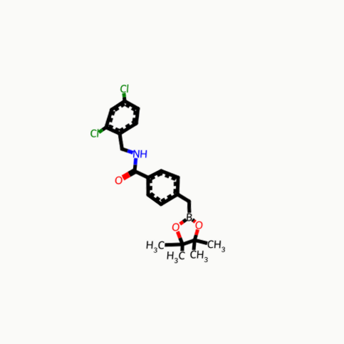 CC1(C)OB(Cc2ccc(C(=O)NCc3ccc(Cl)cc3Cl)cc2)OC1(C)C